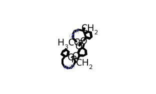 C=C1/C=C\C=C/C(C)CP(=O)(CC2C=CC=C(CP3(=O)Oc4ccccc4CC/C=C\C=C/C3=C)C=C2)Oc2ccccc21